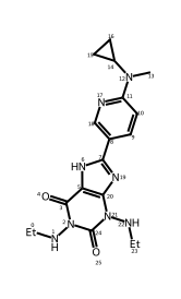 CCNn1c(=O)c2[nH]c(-c3ccc(N(C)C4CC4)nc3)nc2n(NCC)c1=O